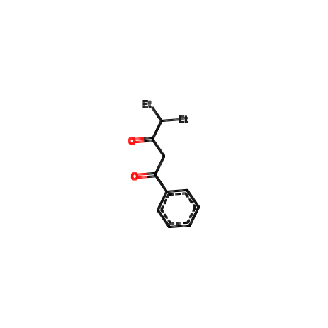 CCC(CC)C(=O)CC(=O)c1ccccc1